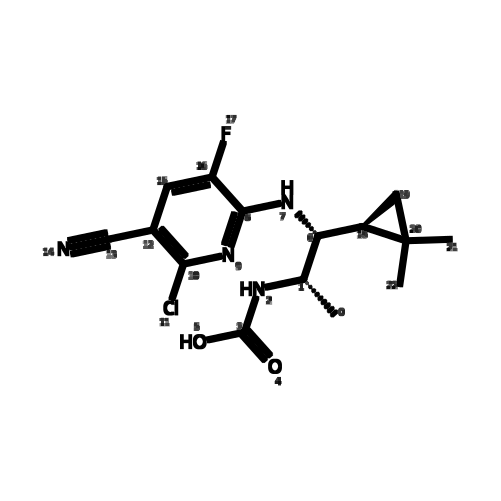 C[C@H](NC(=O)O)[C@H](Nc1nc(Cl)c(C#N)cc1F)[C@H]1CC1(C)C